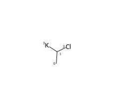 C[CH](Cl)[K]